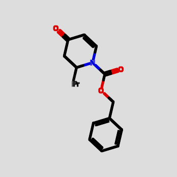 CC(C)C1CC(=O)C=CN1C(=O)OCc1ccccc1